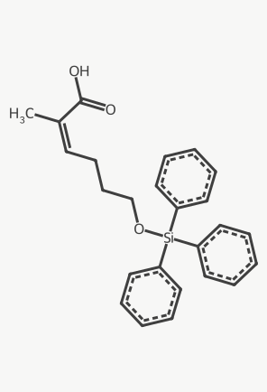 CC(=CCCCO[Si](c1ccccc1)(c1ccccc1)c1ccccc1)C(=O)O